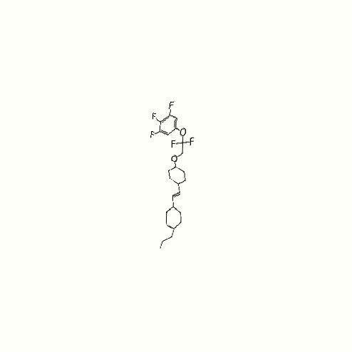 CCCC1CCC(/C=C/C2CCC(OCC(F)(F)Oc3cc(F)c(F)c(F)c3)CC2)CC1